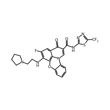 O=C(Nc1nnc(C(F)(F)F)s1)c1cn2c3c(c(NCCN4CCCC4)c(F)cc3c1=O)Oc1ccccc1-2